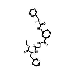 CCOC(=O)C(Cc1cccnc1)NC(=O)CNC(=O)c1cccc(NC(=O)NCc2ccccc2)c1